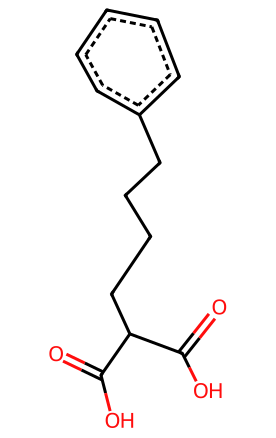 O=C(O)C(CCCCc1ccccc1)C(=O)O